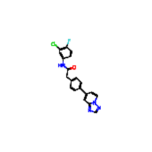 O=C(Cc1ccc(-c2ccn3ncnc3c2)cc1)Nc1ccc(F)c(Cl)c1